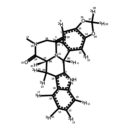 [2H]c1c([2H])c([C@]2([2H])c3[nH]c4c([2H])c([2H])c([2H])c([2H])c4c3C([2H])([2H])[C@@H]3C(=O)N(C)CC(=O)N32)c([2H])c2c1OC([2H])([2H])O2